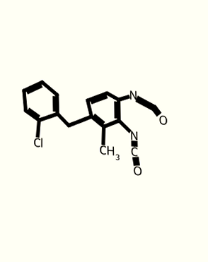 Cc1c(Cc2ccccc2Cl)ccc(N=C=O)c1N=C=O